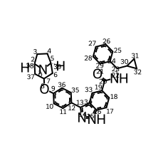 CN1[C@@H]2CC[C@H]1CC(Oc1ccc(-c3n[nH]c4ccc(C(=O)N[C@H](c5ccccc5)C5CC5)cc34)cc1)C2